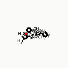 COc1cccc(OC)c1-n1c(NS(=O)(=O)[C@@H](C)[C@@H](O)c2ccc(F)cn2)nnc1-c1cncc(C)c1